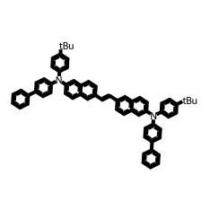 CC(C)(C)c1ccc(N(c2ccc(-c3ccccc3)cc2)c2ccc3cc(/C=C/c4ccc5cc(N(c6ccc(-c7ccccc7)cc6)c6ccc(C(C)(C)C)cc6)ccc5c4)ccc3c2)cc1